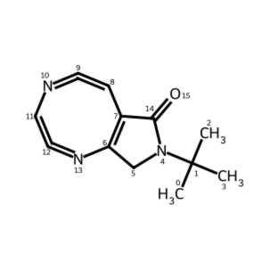 CC(C)(C)N1CC2=C(C=C=NC=C=N2)C1=O